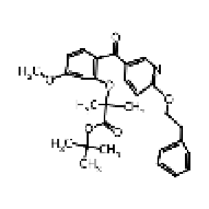 COc1ccc(C(=O)c2ccc(OCCc3ccccc3)nc2)c(OC(C)(C)C(=O)OC(C)(C)C)c1